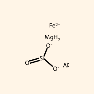 O=[Si]([O-])[O-].[Al].[Fe+2].[MgH2]